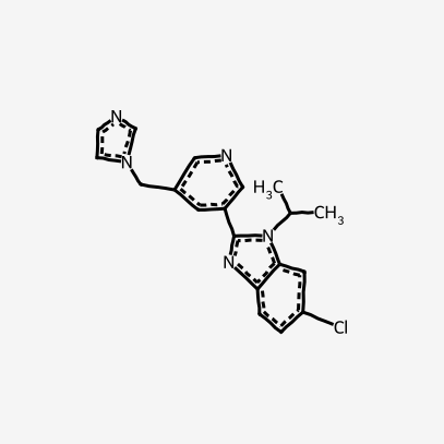 CC(C)n1c(-c2cncc(Cn3ccnc3)c2)nc2ccc(Cl)cc21